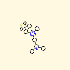 c1ccc(-c2cc(-c3ccc(-c4nc(-c5ccccc5)nc(-c5cccc6c5-c5ccccc5C65c6ccccc6Sc6ccccc65)n4)cc3)cc(-c3ccccc3)n2)cc1